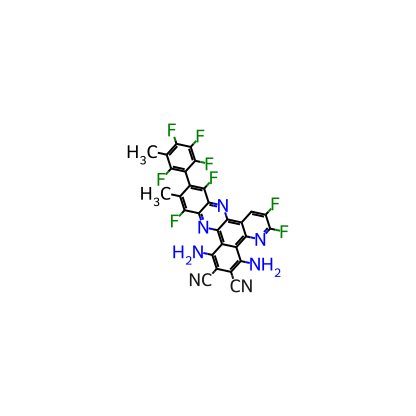 Cc1c(F)c(F)c(F)c(-c2c(C)c(F)c3nc4c(nc3c2F)c2cc(F)c(F)nc2c2c(N)c(C#N)c(C#N)c(N)c42)c1F